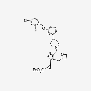 CCOC(=O)C1CC1c1cnc(CN2CCC(c3cccc(OCc4ccc(Cl)cc4F)n3)CC2)n1C[C@@H]1CCO1